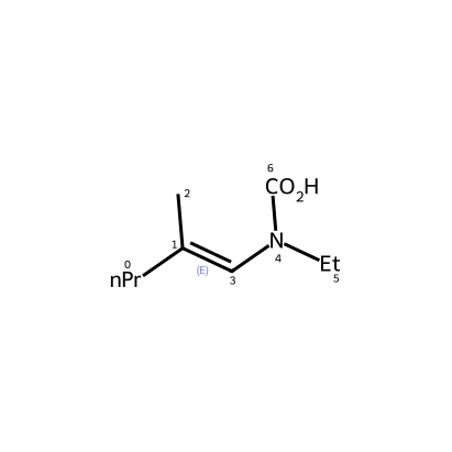 CCC/C(C)=C/N(CC)C(=O)O